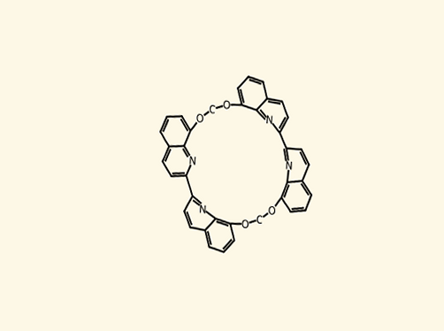 c1cc2c3nc(ccc3c1)-c1ccc3cccc(c3n1)OCOc1cccc3ccc(nc13)-c1ccc3cccc(c3n1)OCO2